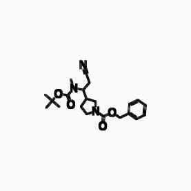 CN(C(=O)OC(C)(C)C)C(CC#N)C1CCN(C(=O)OCc2ccccc2)C1